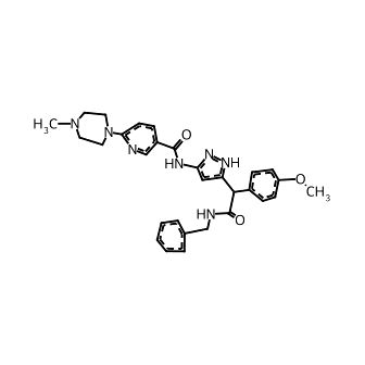 COc1ccc(C(C(=O)NCc2ccccc2)c2cc(NC(=O)c3ccc(N4CCN(C)CC4)nc3)n[nH]2)cc1